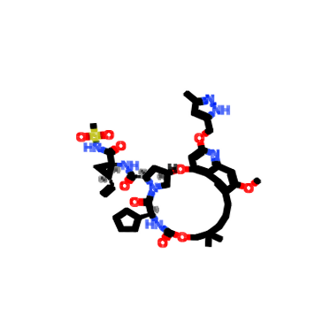 C=C[C@@H]1C[C@]1(NC(=O)[C@@H]1C[C@@H]2CN1C(=O)[C@H](C1CCCC1)NC(=O)OCC(C)(C)CCCc1cc3c(cc(OCc4cc(C)n[nH]4)nc3cc1OC)O2)C(=O)NS(C)(=O)=O